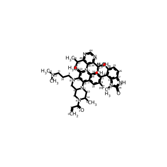 C=CC(=O)N1CC2CN(CCCN(C)C)c3c(c4cc(F)c(-c5c(C)ccc6[nH]c(=O)n(C)c56)c(F)c4n(-c4c(C(C)C)ncnc4C(C)C)c3=O)N2CC1C